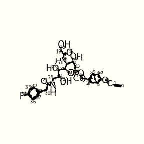 C#CCOc1ccc(CO[C@]2(C(=O)O)C[C@H](O)[C@@H](NC(=O)CO)[C@H]([C@H](O)[C@H](O)CNC(=O)Cc3ccc(F)cc3)O2)cc1